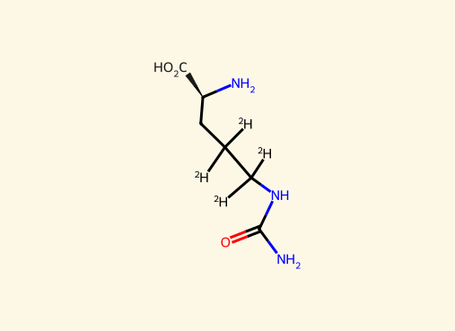 [2H]C([2H])(C[C@H](N)C(=O)O)C([2H])([2H])NC(N)=O